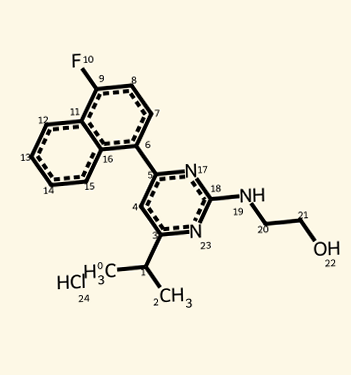 CC(C)c1cc(-c2ccc(F)c3ccccc23)nc(NCCO)n1.Cl